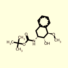 CO[C@@H]1c2ccccc2C[C@@H](NC(=O)OC(C)(C)C)[C@H]1O